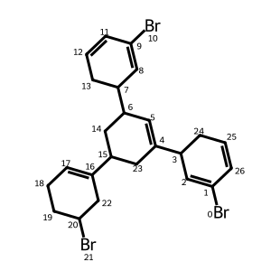 BrC1=CC(C2=CC(C3C=C(Br)C=CC3)CC(C3=CCCC(Br)C3)C2)CC=C1